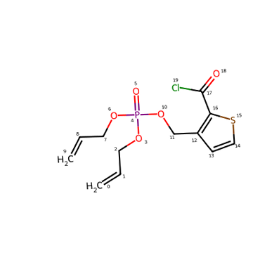 C=CCOP(=O)(OCC=C)OCc1ccsc1C(=O)Cl